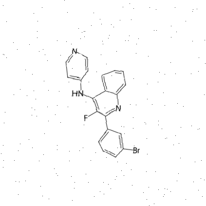 Fc1c(-c2cccc(Br)c2)nc2ccccc2c1Nc1ccncc1